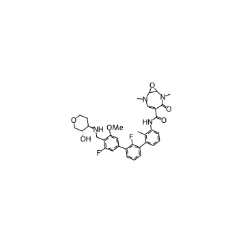 COc1cc(-c2cccc(-c3cccc(NC(=O)C4=CN(C)C5OC5N(C)C4=O)c3C)c2F)cc(F)c1CN[C@@H]1CCOC[C@H]1O